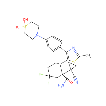 Cc1nc(-c2ccc(N3CCS(O)(O)CC3)cc2)c(C2CCC(F)(F)CC2(C(N)=O)C2(C#N)CC2)s1